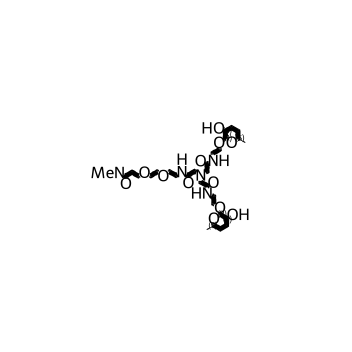 CNC(=O)CCOCCOCCNC(=O)CN(CC(=O)NCCO[C@@H]1O[C@@H](C)CC[C@@H]1O)CC(=O)NCCO[C@@H]1O[C@@H](C)CC[C@@H]1O